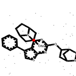 COC1CC2CCC(C1)N2c1nc(OC2CC3CC2CN3)nc2scc(-c3ccccc3)c12